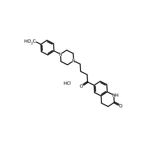 Cl.O=C1CCc2cc(C(=O)CCCN3CCN(c4ccc(C(=O)O)cc4)CC3)ccc2N1